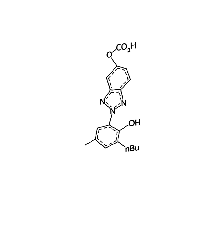 CCCCc1cc(C)cc(-n2nc3ccc(OC(=O)O)cc3n2)c1O